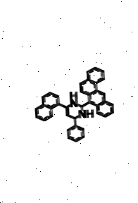 C1=C(c2cccc3ccccc23)NC(c2c3ccccc3cc3c2ccc2ccccc23)NC1c1ccccc1